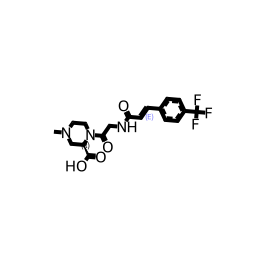 CN1CCN(C(=O)CNC(=O)/C=C/c2ccc(C(F)(F)F)cc2)[C@@H](C(=O)O)C1